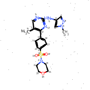 Cc1cnc(Nc2cnn(C)c2)nc1-c1ccc(S(=O)(=O)N2CCOCC2)cc1